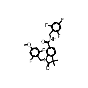 COc1cc(F)c(CN2C(=O)C(C)(C)c3ccc(C(=O)NCc4c(F)cc(F)cc4F)cc32)c(F)c1